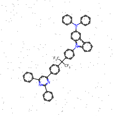 FC(F)(F)C(c1ccc(-c2cc(-c3ccccc3)nc(-c3ccccc3)n2)cc1)(c1ccc(-n2c3ccccc3c3cc(N(c4ccccc4)c4ccccc4)ccc32)cc1)C(F)(F)F